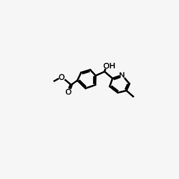 COC(=O)c1ccc(C(O)c2ccc(C)cn2)cc1